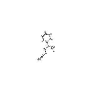 COC(=NCC#N)c1ccccc1